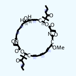 C/C=C/C(=O)C(C)(C)[C@@H]1C\C=C/C=C\C=C\[C@H](OC)Cc2nc(co2)C(=O)O[C@H](C(C)(C)C(=O)/C=C/C)C/C=C\[C@H]2O[C@H]2/C=C/C=C\c2nc(co2)C(=O)O1